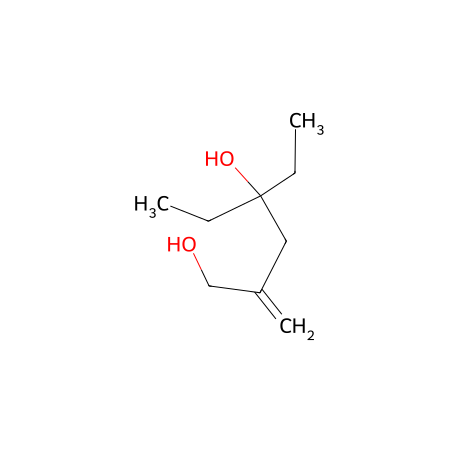 C=C(CO)CC(O)(CC)CC